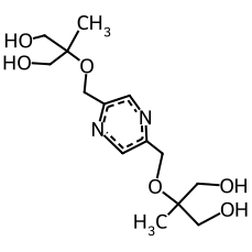 CC(CO)(CO)OCc1cnc(COC(C)(CO)CO)cn1